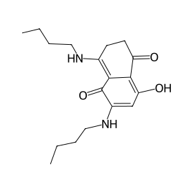 CCCCNC1=CC(O)=C2C(=O)CCC(NCCCC)=C2C1=O